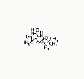 Cn1c(=O)[nH]c(Cl)c(NC(=O)OC(C)(C)C)c1=O